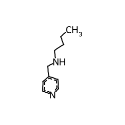 CCCCNCc1ccncc1